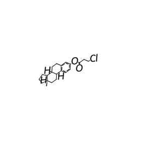 C[C@@]12CCC[C@H]1[C@@H]1CCc3cc(OC(=O)CCCl)ccc3[C@H]1CC2